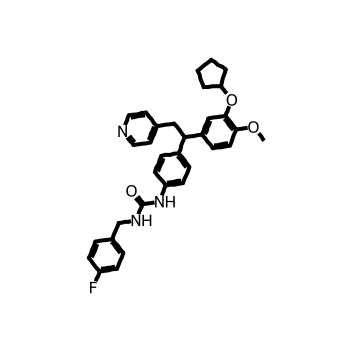 COc1ccc(C(Cc2ccncc2)c2ccc(NC(=O)NCc3ccc(F)cc3)cc2)cc1OC1CCCC1